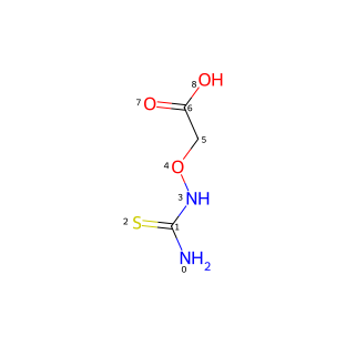 NC(=S)NOCC(=O)O